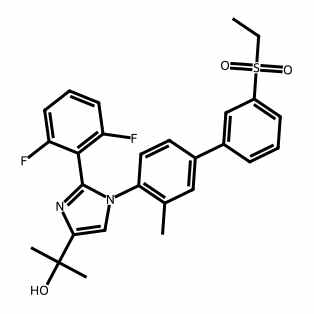 CCS(=O)(=O)c1cccc(-c2ccc(-n3cc(C(C)(C)O)nc3-c3c(F)cccc3F)c(C)c2)c1